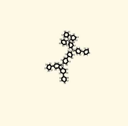 c1ccc(-c2ccc(N(c3ccc(-c4ccc(-n5c6ccc(-c7ccccc7)cc6c6cc(-c7ccccc7)ccc65)cc4)cc3)c3ccc([Si](c4ccccc4)(c4ccccc4)c4ccccc4)cc3)cc2)cc1